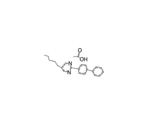 CC(=O)O.CCCCCc1cnc(-c2ccc(-c3ccccc3)cc2)nc1